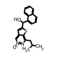 CC(C)Cc1n[n+]([O-])cc2cc(C(O)c3cccc4ccccc34)sc12